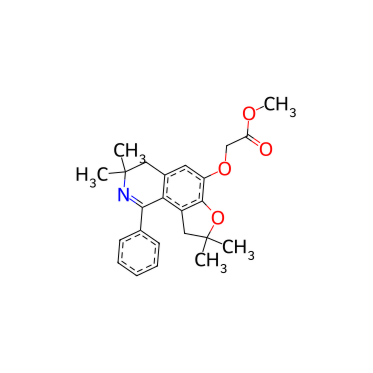 COC(=O)COc1cc2c(c3c1OC(C)(C)C3)C(c1ccccc1)=NC(C)(C)C2